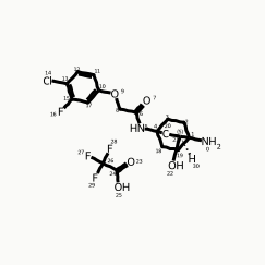 NC12CCC(NC(=O)COc3ccc(Cl)c(F)c3)(CC1)C[C@@H]2O.O=C(O)C(F)(F)F